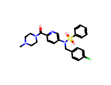 CN1CCN(C(=O)c2ccc(N(Cc3ccc(Cl)cc3)S(=O)(=O)c3ccccc3)cn2)CC1